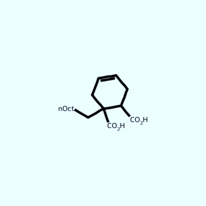 CCCCCCCCCC1(C(=O)O)CC=CCC1C(=O)O